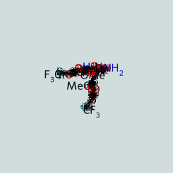 COc1cc(C=CC(=O)CC(c2ccc(N)cc2N)C(O)(O)C(=O)C=Cc2ccc(OC(=O)c3ccc(OCCCC(F)(F)C(F)(F)F)cc3)c(OC)c2)ccc1OC(=O)c1ccc(OCCCC(F)(F)C(F)(F)F)cc1